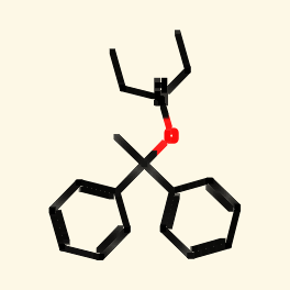 CC[SiH](CC)OC(C)(c1ccccc1)c1ccccc1